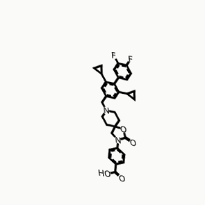 O=C(O)c1ccc(N2CC3(CCN(Cc4cc(C5CC5)c(-c5ccc(F)c(F)c5)c(C5CC5)c4)CC3)OC2=O)cc1